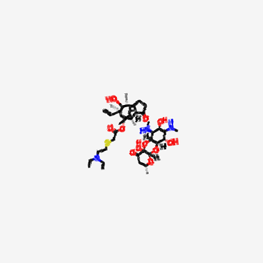 C=C[C@]1(C)C[C@@H](OC(=O)CSCCN(CC)CC)[C@@]2(C)C(C)CC[C@]3(CCC(=O)[C@H]32)[C@@H](C)[C@@H]1O.CN[C@@H]1[C@H](O)[C@H](NC)[C@H]2O[C@@]3(O)C(=O)C[C@@H](C)O[C@H]3O[C@@H]2[C@H]1O